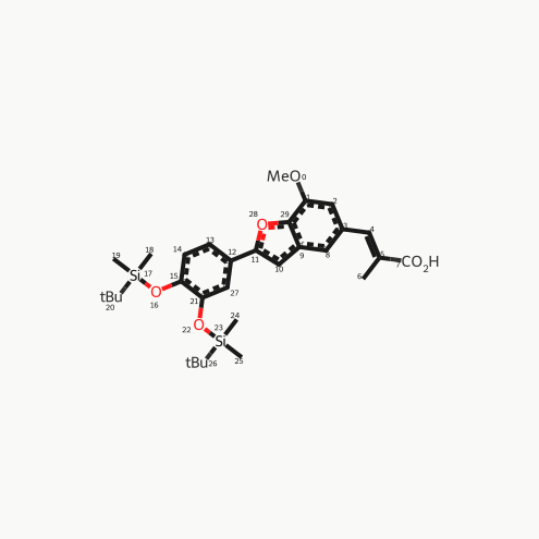 COc1cc(C=C(C)C(=O)O)cc2cc(-c3ccc(O[Si](C)(C)C(C)(C)C)c(O[Si](C)(C)C(C)(C)C)c3)oc12